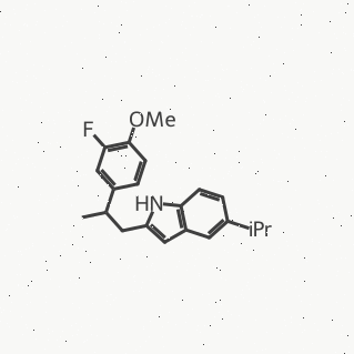 COc1ccc(C(C)Cc2cc3cc(C(C)C)ccc3[nH]2)cc1F